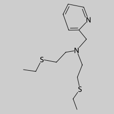 CCSCCN(CCSCC)Cc1ccccn1